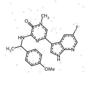 COc1ccc(C(C)Nc2nc(-c3c[nH]c4ncc(F)cc34)cn(C)c2=O)cc1